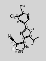 CC(C)c1oc(-c2ccc(F)c(Cl)c2)nc1-c1nn[nH]c1C#N